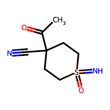 CC(=O)C1(C#N)CCS(=N)(=O)CC1